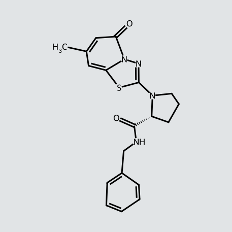 Cc1cc(=O)n2nc(N3CCC[C@@H]3C(=O)NCc3ccccc3)sc2c1